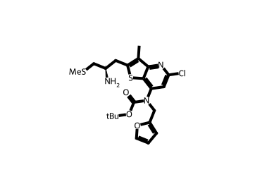 CSC[C@H](N)Cc1sc2c(N(Cc3ccco3)C(=O)OC(C)(C)C)cc(Cl)nc2c1C